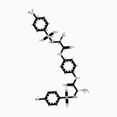 CC(=O)c1ccc(S(=O)(=O)N[C@@H](C)C(=O)Oc2ccc(OC(=O)[C@@H](NS(=O)(=O)c3ccc(C)cc3)C(C)=O)cc2)cc1